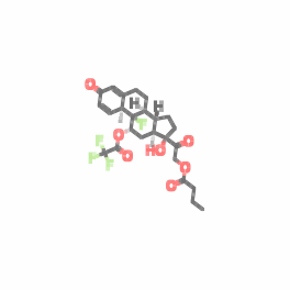 CCCC(=O)OCC(=O)[C@@]1(O)CC[C@H]2[C@@H]3CCC4=CC(=O)C=C[C@]4(C)[C@@]3(F)[C@@H](OC(=O)C(F)(F)F)C[C@@]21C